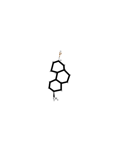 C[C@H]1CCC2C(CCC3C[C@@H](Br)CCC32)C1